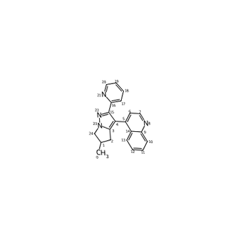 CC1Cc2c(-c3ccnc4ccccc34)c(-c3ccccn3)nn2C1